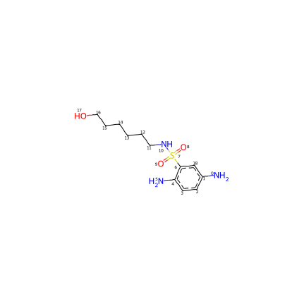 Nc1ccc(N)c(S(=O)(=O)NCCCCCCO)c1